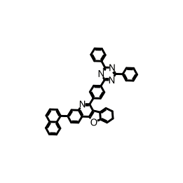 C1=c2oc3c(c(-c4ccc(-c5nc(-c6ccccc6)nc(-c6ccccc6)n5)cc4)nc4cc(-c5cccc6ccccc56)ccc43)c2=CCC1